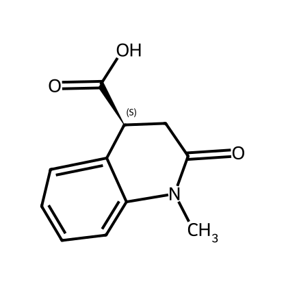 CN1C(=O)C[C@H](C(=O)O)c2ccccc21